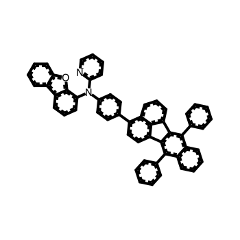 c1ccc(-c2c3c(c(-c4ccccc4)c4ccccc24)-c2ccc(-c4ccc(N(c5ccccn5)c5cccc6c5oc5ccccc56)cc4)c4cccc-3c24)cc1